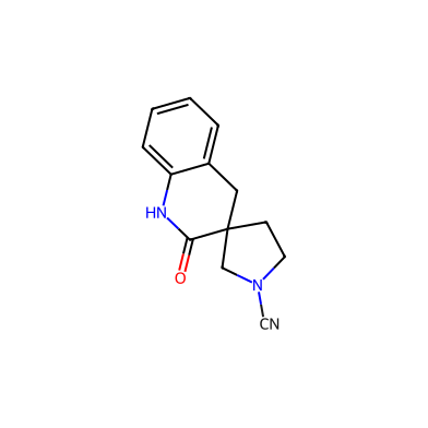 N#CN1CCC2(Cc3ccccc3NC2=O)C1